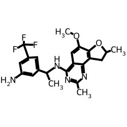 COc1cc2c(NC(C)c3cc(N)cc(C(F)(F)F)c3)nc(C)nc2c2c1OC(C)C2